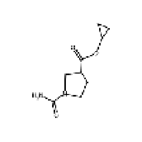 NC(=O)N1CCC(C(=O)OC2CC2)C1